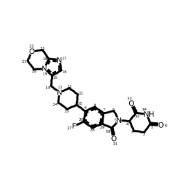 O=C1CCC(N2Cc3cc(C4CCN(Cc5cnc6n5CCOC6)CC4)c(F)cc3C2=O)C(=O)N1